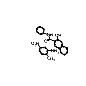 Cc1ccc([N+](=O)[O-])cc1N.O=C(Nc1ccccc1)c1cc2ccccc2cc1O